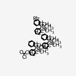 C[Si](C)(C)[PH](C)(c1ccccc1)c1ccccc1.C[Si](C)(C)[PH](C)(c1ccccc1)c1ccccc1.C[Si](C)(C)[PH](C)(c1ccccc1)c1ccccc1.O=C(Cl)Cl.[Rh]